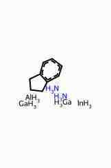 N.N.[AlH3].[GaH3].[GaH3].[InH3].c1ccc2c(c1)CCC2